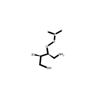 CC[C@H](CO)[C@H](CN)OSP(I)I